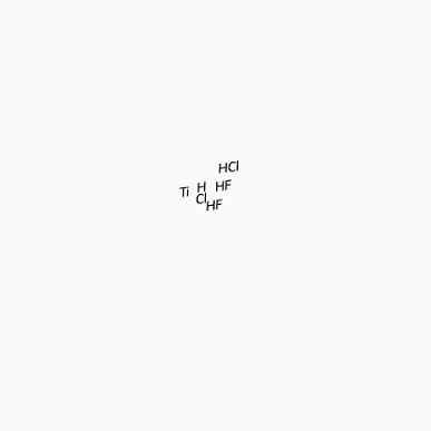 Cl.Cl.F.F.[Ti]